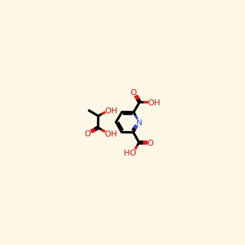 CC(O)C(=O)O.O=C(O)c1cccc(C(=O)O)n1